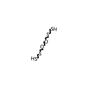 SCCSCCOCCOCCSCCS